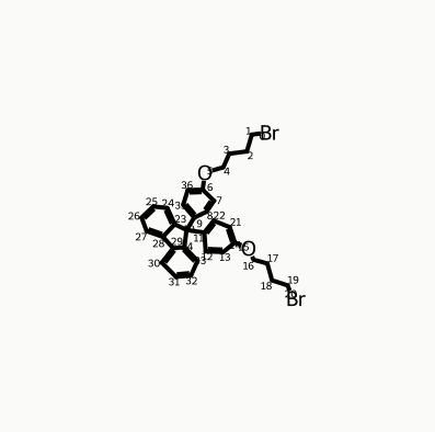 BrCCCCOc1ccc(C2(c3ccc(OCCCCBr)cc3)c3ccccc3-c3ccccc32)cc1